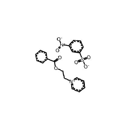 O=C(OCC[n+]1ccccc1)c1ccccc1.O=[N+]([O-])c1cccc(S(=O)(=O)[O-])c1